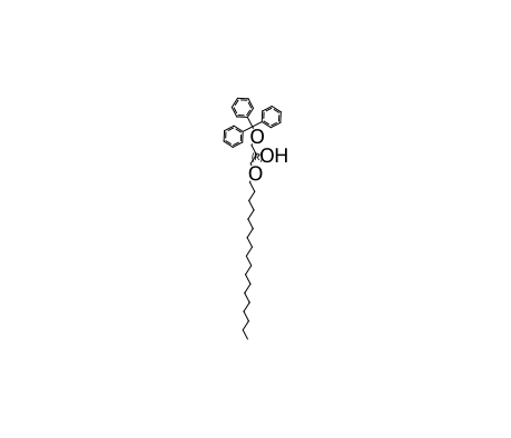 CCCCCCCCCCCCCCCCCCOC[C@@H](O)COC(c1ccccc1)(c1ccccc1)c1ccccc1